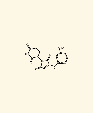 O=Cc1cccc(NC2=CC(=O)N(C3CCC(=O)NC3=O)C2=O)c1